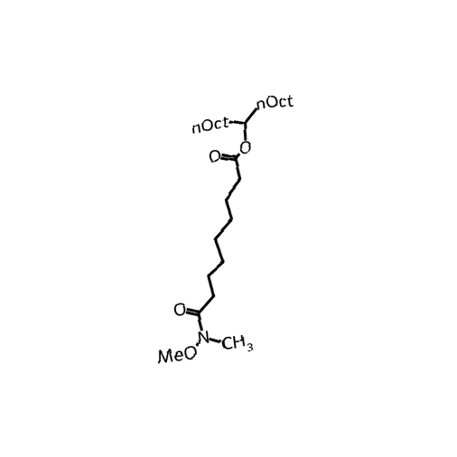 CCCCCCCCC(CCCCCCCC)OC(=O)CCCCCCCC(=O)N(C)OC